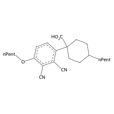 CCCCCOc1ccc(C2(C(=O)O)CCC(CCCCC)CC2)c(C#N)c1C#N